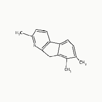 Cc1ccc2c(n1)Cc1c-2ccc(C)c1C